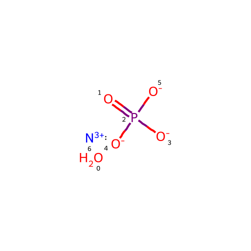 O.O=P([O-])([O-])[O-].[N+3]